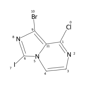 Clc1nccn2c(I)nc(Br)c12